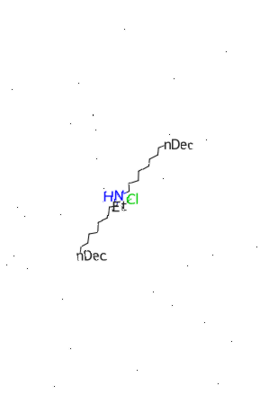 CCCCCCCCCCCCCCCCCCNCCCCCCCCCCCCCCCCCC.CCCl